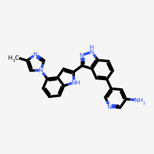 Cc1cn(-c2cccc3[nH]c(-c4n[nH]c5ccc(-c6cncc(N)c6)cc45)cc23)cn1